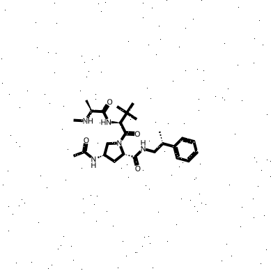 CN[C@@H](C)C(=O)N[C@H](C(=O)N1C[C@@H](NC(C)=O)C[C@H]1C(=O)NC[C@H](C)c1ccccc1)C(C)(C)C